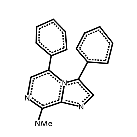 CNc1ncc(-c2ccccc2)n2c(-c3ccccc3)cnc12